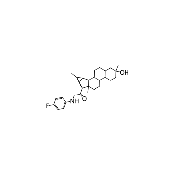 CC1(O)CCC2C(CCC3C2CCC2(C)C3C3C4C3(C)C42C(=O)CNc2ccc(F)cc2)C1